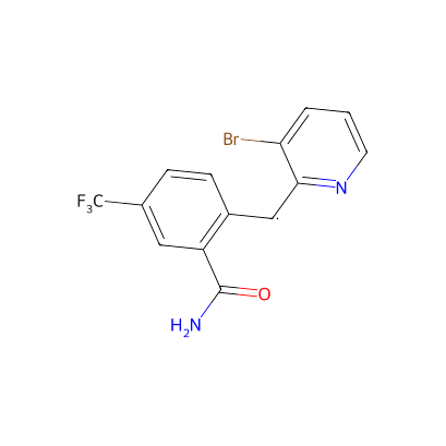 NC(=O)c1cc(C(F)(F)F)ccc1[CH]c1ncccc1Br